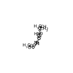 CC(=O)O[C@H]1CCC[C@@H]1OCc1ncc(-c2ccc3nc(NC(=O)[C@H]4C[C@@H](OC(C)(C)C)C4)sc3c2)cn1